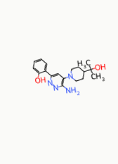 CC(C)(O)C1CCN(c2cc(-c3ccccc3O)nnc2N)CC1